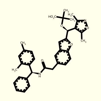 Cc1ccc([C@@H](NC(=O)Cc2ccc3oc([C@@H](OC(C)(C)C(=O)O)c4c(C)noc4C)cc3c2)c2ccccc2)c(C)c1